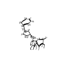 Cc1cc(Cl)c(C(=O)NC2CCN(Cc3ccccc3)C2)cc1C